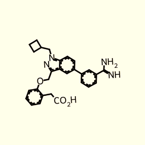 N=C(N)c1cccc(-c2ccc3c(c2)c(COc2ccccc2CC(=O)O)nn3CC2CCC2)c1